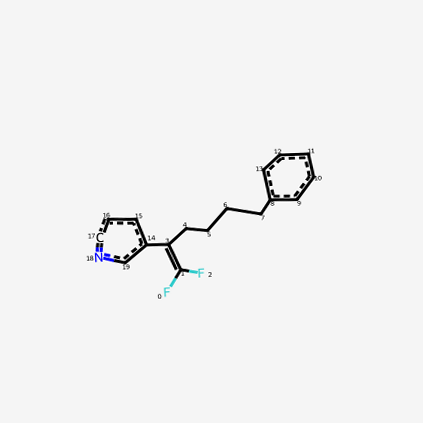 FC(F)=C(CCCCc1ccccc1)c1cccnc1